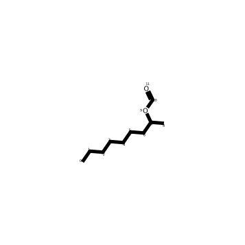 CCCCCCCC(C)O[C]=O